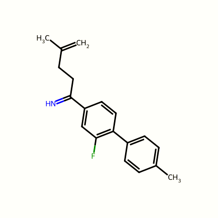 C=C(C)CCC(=N)c1ccc(-c2ccc(C)cc2)c(F)c1